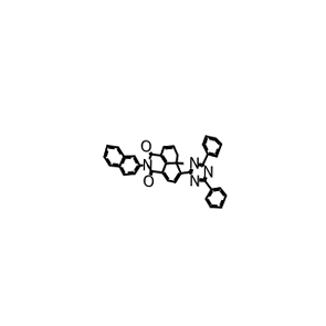 CC12CC=CC3=C1C(=CC=C2c1nc(-c2ccccc2)nc(-c2ccccc2)n1)C(=O)N(c1ccc2ccccc2c1)C3=O